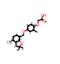 Cc1cc(OCc2ccc(Cl)c3c2OC(C)(C)C3)ccc1OCC(=O)O